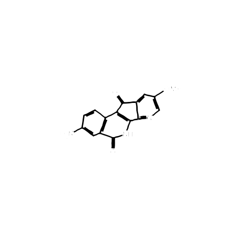 COc1cnc2c(c1)C(=O)c1c-2[nH]c(=O)c2cc([N+](=O)[O-])ccc12